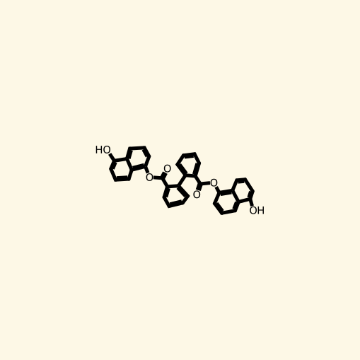 O=C(Oc1cccc2c(O)cccc12)c1ccccc1-c1ccccc1C(=O)Oc1cccc2c(O)cccc12